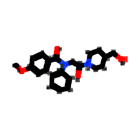 COc1ccc(C(=O)N(CC(=O)N2CCC(CO)CC2)c2ccccc2)cc1